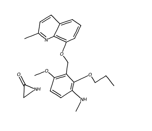 CCCOc1c(NC)ccc(OC)c1COc1cccc2ccc(C)nc12.O=C1CN1